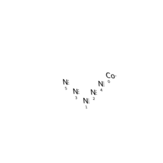 [Co].[N].[N].[N].[N].[N]